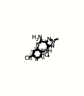 Cl.Cn1nc2c(n1)C(N)=Nc1cc(Cl)ccc1N2